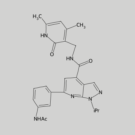 CC(=O)Nc1cccc(-c2cc(C(=O)NCc3c(C)cc(C)[nH]c3=O)c3cnn(C(C)C)c3n2)c1